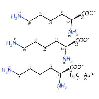 C.NCCCC[C@H](N)C(=O)[O-].NCCCC[C@H](N)C(=O)[O-].NCCCC[C@H](N)C(=O)[O-].[Au+3]